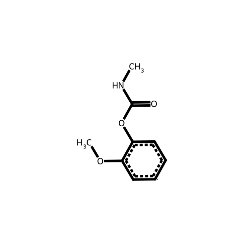 CNC(=O)Oc1cc[c]cc1OC